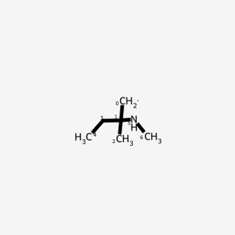 [CH2]C(C)(CC)NC